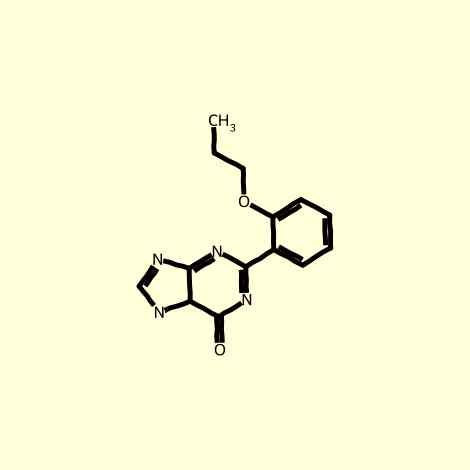 CCCOc1ccccc1C1=NC(=O)C2[N]C=NC2=N1